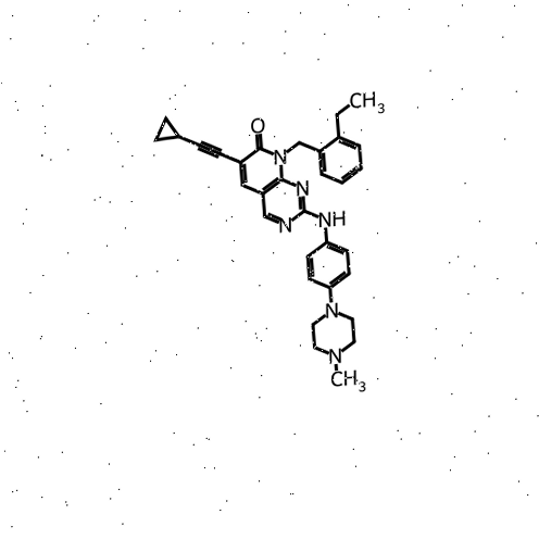 CCc1ccccc1Cn1c(=O)c(C#CC2CC2)cc2cnc(Nc3ccc(N4CCN(C)CC4)cc3)nc21